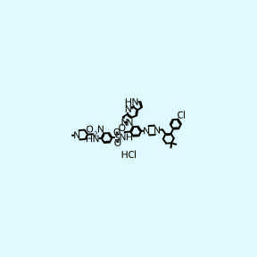 CN1CCC(CNc2ccc(S(=O)(=O)NC(=O)c3ccc(N4CCN(CC5=C(c6ccc(Cl)cc6)CC(C)(C)CC5)CC4)cc3-n3ncc4nc5[nH]ccc5cc43)cc2[N+](=O)[O-])CC1.Cl